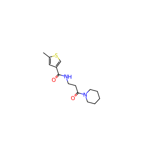 Cc1cc(C(=O)NCCC(=O)N2CCCCC2)cs1